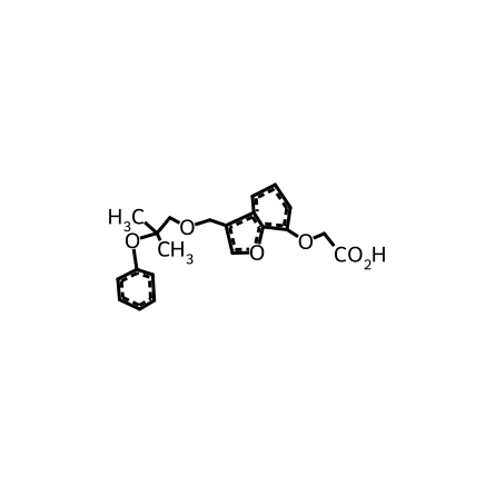 CC(C)(COCc1coc2c(OCC(=O)O)cccc12)Oc1ccccc1